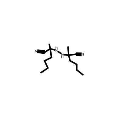 CCCCC(C)(C#N)NNC(C)(C#N)CCCC